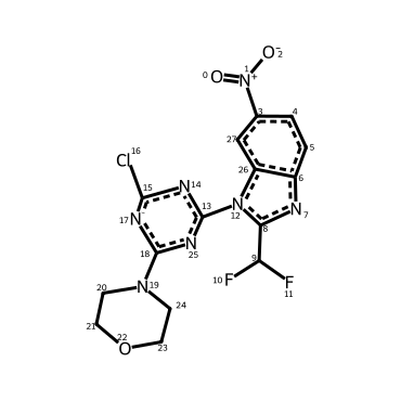 O=[N+]([O-])c1ccc2nc(C(F)F)n(-c3nc(Cl)nc(N4CCOCC4)n3)c2c1